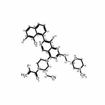 C=C(F)C(=O)N1CCN(c2nc(OC[C@H]3CN(C)CCO3)nc3c(F)c(-c4cccc5ccc(F)c(Cl)c45)ncc23)C[C@@H]1CC#N